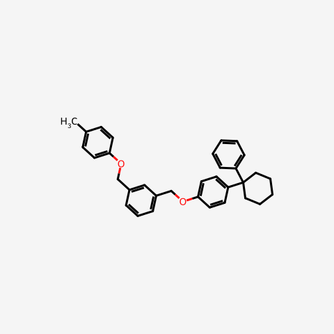 Cc1ccc(OCc2cccc(COc3ccc(C4(c5ccccc5)CCCCC4)cc3)c2)cc1